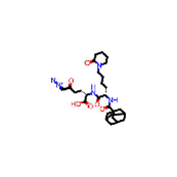 [N-]=[N+]=CC(=O)CC[C@H](NC(=O)[C@H](CCCCN1CCCCC1=O)NC(=O)C12CC3CC(CC(C3)C1)C2)C(=O)O